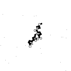 COC1CN(C(=O)c2ccc(C(=O)O)n2Cc2cc(-c3ccc(Cl)s3)on2)C1